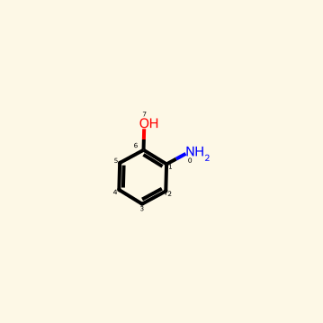 Nc1[c]cccc1O